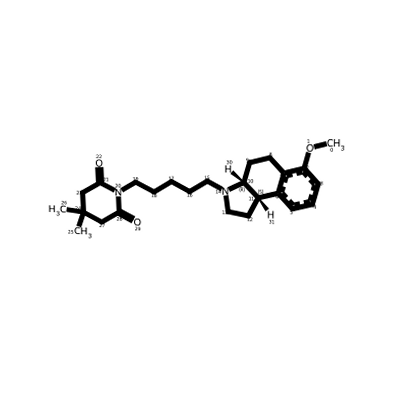 COc1cccc2c1CC[C@@H]1[C@H]2CCN1CCCCCN1C(=O)CC(C)(C)CC1=O